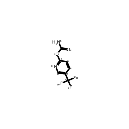 NC(=O)Oc1ccc(C(F)(F)F)cn1